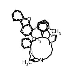 Cc1ccc2c(oc3ccccc32)c1N1C=CN(C)C1C12Cc3ccccc3N3C=CN(CCCN4C=CN(c5ccccc51)C42)C3C